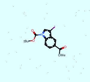 COC(=O)c1ccc2c(c1)c(I)cn2C(=O)OC(C)(C)C